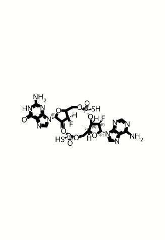 Nc1nc2c(ncn2[C@@H]2OC3CO[P@@](=O)(S)O[C@H]4[C@@H](F)[C@H](n5cnc6c(N)ncnc65)O[C@@H]4CO[P@@](=O)(S)O[C@@H]2[C@@H]3F)c(=O)[nH]1